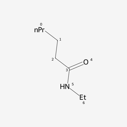 [CH2]CCCCC(=O)NCC